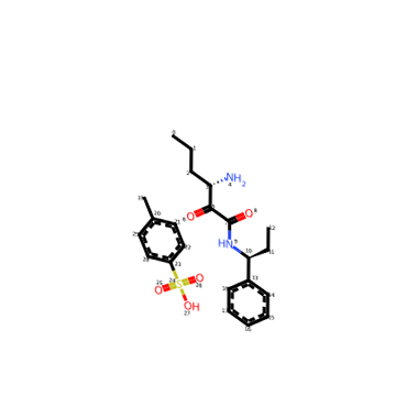 CCC[C@H](N)C(=O)C(=O)N[C@@H](CC)c1ccccc1.Cc1ccc(S(=O)(=O)O)cc1